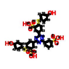 O=S(=O)(O)c1cccc(-c2nc(-c3ccc(Sc4ccc(O)cc4)c(S(=O)(=O)O)c3)nc(-c3ccc(Sc4ccc(O)cc4)c(S(=O)(=O)O)c3)n2)c1